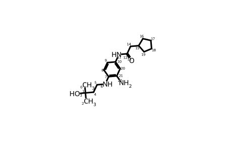 CC(C)(O)CCNc1ccc(NC(=O)CC2CCCC2)cc1N